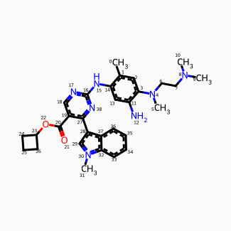 Cc1cc(N(C)CCN(C)C)c(N)cc1Nc1ncc(C(=O)OC2CCC2)c(-c2cn(C)c3ccccc23)n1